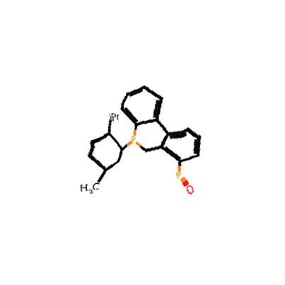 CC1CCC(C(C)C)C(P2Cc3c(P=O)cccc3-c3ccccc32)C1